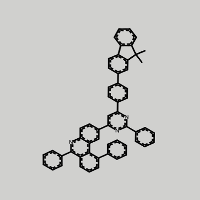 CC1(C)c2ccccc2-c2ccc(-c3ccc(-c4cc(-c5ccc6nc(-c7ccccc7)c7cccc(-c8ccccc8)c7c6c5)nc(-c5ccccc5)n4)cc3)cc21